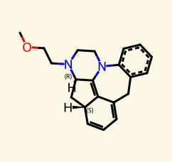 COCCN1CCN2C3=C4C(=CC=C[C@@H]4C[C@H]31)Cc1ccccc12